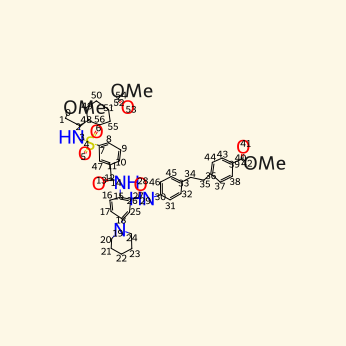 COCC(NS(=O)(=O)c1cccc(C(=O)Nc2ccc(N3CCCCC3)cc2C(=O)Nc2ccc(CCc3ccc(C(=O)OC)cc3)cc2)c1)[C@H]1CC[C@H](C(=O)OC)CC1